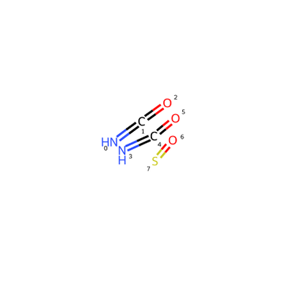 N=C=O.N=C=O.O=S